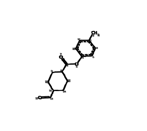 Cc1ccc(OC(=O)C2CCC(C=O)CC2)cc1